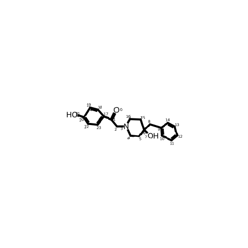 O=C(CN1CCC(O)(Cc2ccccc2)CC1)c1ccc(O)cc1